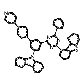 c1ccc(-c2nc(-c3cc(-c4ccc(-c5ccncc5)cc4)cc(-n4c5ccccc5c5ccccc54)c3)nc(-c3cccc4sc5ccccc5c34)n2)cc1